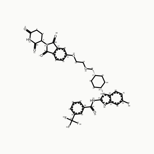 O=C1CCC(N2C(=O)c3ccc(OCCOC[C@H]4CC[C@@H](n5c(NC(=O)c6cccc(C(F)(F)F)c6)nc6cc(F)ccc65)CC4)cc3C2=O)C(=O)N1